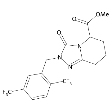 COC(=O)C1CCCc2nn(Cc3cc(C(F)(F)F)ccc3C(F)(F)F)c(=O)n21